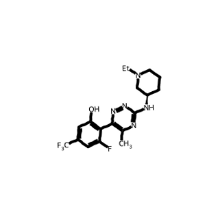 CCN1CCC[C@@H](Nc2nnc(-c3c(O)cc(C(F)(F)F)cc3F)c(C)n2)C1